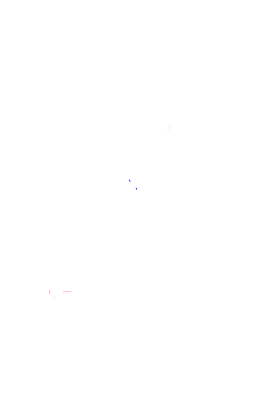 Cc1cccc2c1C(=O)N(Cc1cccc(O)c1)C2